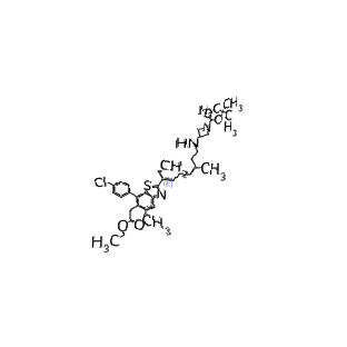 C=C/C(=C\CCC(C)CCNC1CN(C(=O)OC(C)(C)C)C1)c1nc2cc(C)c(CC(=O)OCC)c(-c3ccc(Cl)cc3)c2s1